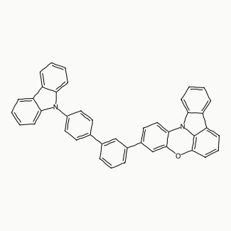 c1cc(-c2ccc(-n3c4ccccc4c4ccccc43)cc2)cc(-c2ccc3c(c2)Oc2cccc4c5ccccc5n-3c24)c1